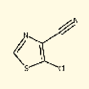 N#Cc1n[c]sc1Cl